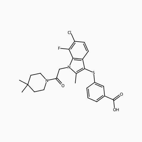 Cc1c(Sc2cccc(C(=O)O)c2)c2ccc(Cl)c(F)c2n1CC(=O)N1CCC(C)(C)CC1